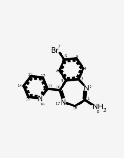 NC1=Nc2ccc(Br)cc2C(c2ccccn2)=NC1